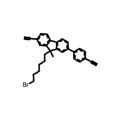 C#Cc1ccc(-c2ccc3c(c2)C(C)(CCCCCCBr)c2cc(C#C)ccc2-3)cc1